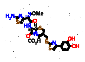 CO/N=C(\C(=O)N[C@@H]1C(=O)N2C(C(=O)O)=C(CSc3nc(-c4ccc(O)c(O)c4)cs3)CS[C@H]12)c1csc(N)n1